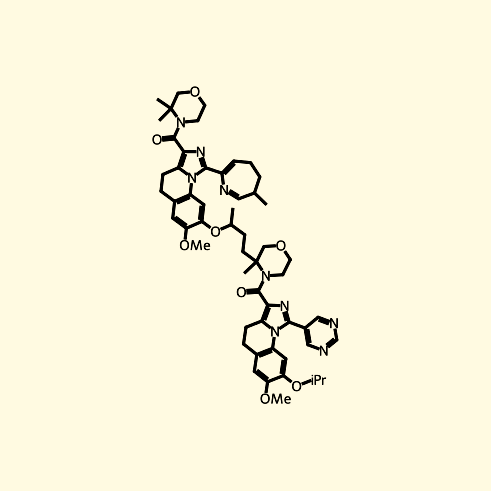 COc1cc2c(cc1OC(C)C)-n1c(-c3cncnc3)nc(C(=O)N3CCOCC3(C)CCC(C)Oc3cc4c(cc3OC)CCc3c(C(=O)N5CCOCC5(C)C)nc(C5=CCCC(C)C=N5)n3-4)c1CC2